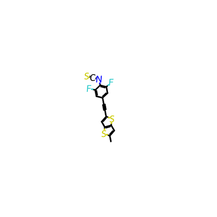 Cc1cc2sc(C#Cc3cc(F)c(N=C=S)c(F)c3)cc2s1